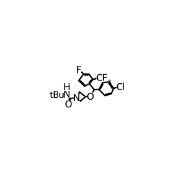 CC(C)(C)NC(=O)N1CC(OC(c2ccc(Cl)cc2)c2ccc(F)cc2C(F)(F)F)C1